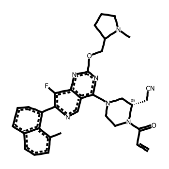 C=CC(=O)N1CCN(c2nc(OCC3CCCN3C)nc3c(F)c(-c4cccc5cccc(C)c45)ncc23)C[C@@H]1CC#N